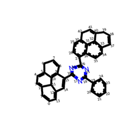 C1=CC2=CC=C3CC=CC4=C3C2C(=C1)C=C4c1nc(-c2ccccc2)nc(-c2ccc3c4c5c(ccc24)C=CCC5=CC3)n1